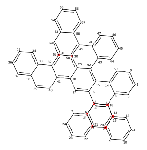 c1ccc(-c2cccc3ccccc23)c(-c2c(-c3cccc4ccccc34)cc3c(ccc4c5ccccc5ccc34)c2-c2ccccc2-c2cccc3ccccc23)c1